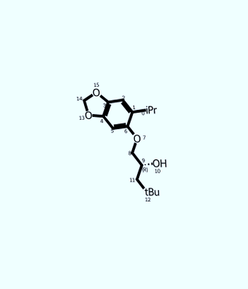 CC(C)c1cc2c(cc1OC[C@H](O)CC(C)(C)C)OCO2